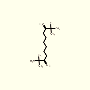 C=C(CCCCCCC(=C)C(C)(C)N)C(C)(C)C